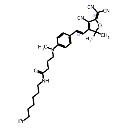 [C-]#[N+]C1=C(/C=C/c2ccc(N(C)CCCC(=O)NCCCCCCC(C)C)cc2)C(C)(C)O/C1=C(\C#N)[N+]#[C-]